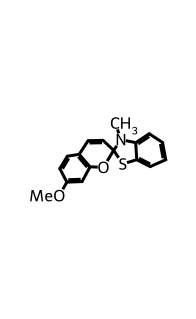 COc1ccc2c(c1)OC1(C=C2)Sc2ccccc2N1C